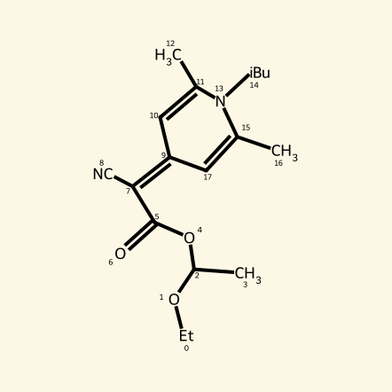 CCOC(C)OC(=O)C(C#N)=C1C=C(C)N(C(C)CC)C(C)=C1